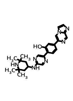 CC1(C)CC(Nc2cnc(-c3ccc(-c4cn5ccnc5cn4)cc3O)cn2)CC(C)(C)N1